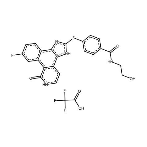 O=C(NCCO)c1ccc(Sc2nc3c4ccc(F)cc4c4c(=O)[nH]ccc4c3[nH]2)cc1.O=C(O)C(F)(F)F